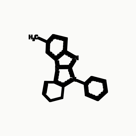 Cc1ccc2nc3n(-c4ccccc4)c4c(n3c2c1)C=CCC4